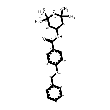 CC1(C)CC(NC(=O)c2ccc(SCc3ccccc3)cc2)CC(C)(C)N1